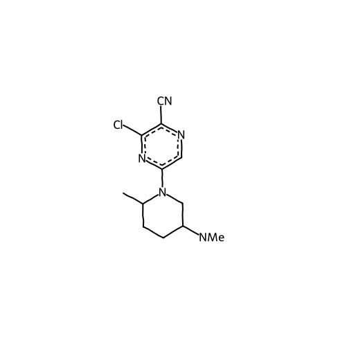 CNC1CCC(C)N(c2cnc(C#N)c(Cl)n2)C1